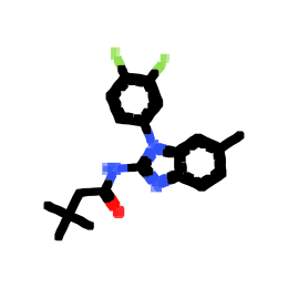 Cc1ccc2nc(NC(=O)CC(C)(C)C)n(-c3ccc(F)c(F)c3)c2c1